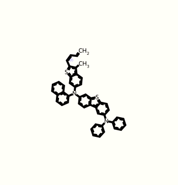 C=C/C=C\c1sc2cc(N(c3ccc4c(c3)sc3ccc(N(c5ccccc5)c5ccccc5)cc34)c3cccc4ccccc34)ccc2c1C